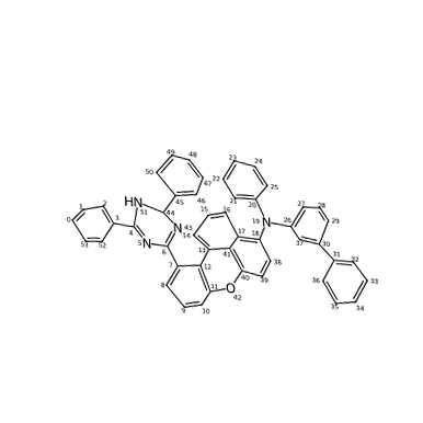 c1ccc(C2=NC(c3cccc4c3-c3cccc5c(N(c6ccccc6)c6cccc(-c7ccccc7)c6)ccc(c35)O4)=NC(c3ccccc3)N2)cc1